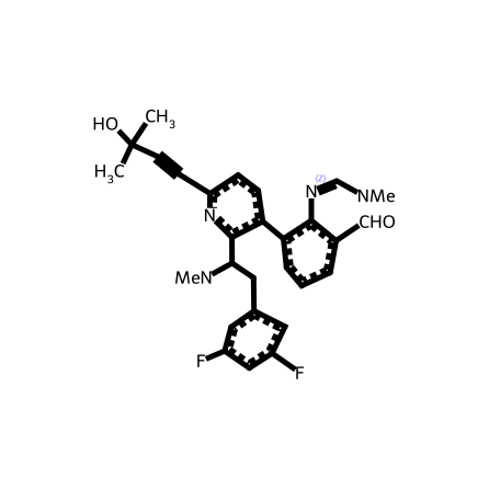 CN/C=N\c1c(C=O)cccc1-c1ccc(C#CC(C)(C)O)nc1C(Cc1cc(F)cc(F)c1)NC